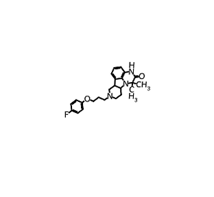 CC1(C)C(=O)Nc2cccc3c2N1C1CCN(CCCOc2ccc(F)cc2)CC31